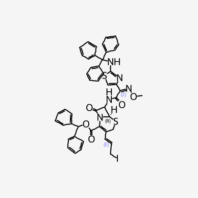 CO/N=C(\C(=O)NC1C(=O)N2C(C(=O)OC(c3ccccc3)c3ccccc3)=C(/C=C/CI)CS[C@H]12)c1csc(NC(c2ccccc2)(c2ccccc2)c2ccccc2)n1